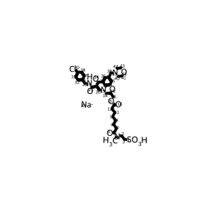 CN(CCS(=O)(=O)O)C(=O)CCCCCCC(=O)OCC1Cn2cc(C(=O)NCc3ccc(Cl)cc3)c(=O)c3cc(CN4CCOCC4)cc(c32)O1.[Na]